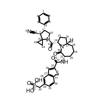 N#C[C@H]1[C@H](c2ccccc2)CN(C(=O)[C@@H]2CC[C@@H]3CCC[C@H](NC(=O)c4cc5cc(CP(=O)(O)O)ccc5s4)C(=O)N32)C12CC2